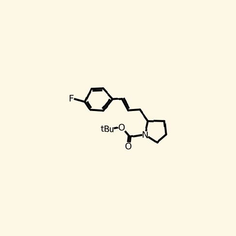 CC(C)(C)OC(=O)N1CCCC1CC=Cc1ccc(F)cc1